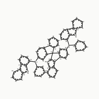 c1ccc(N(c2ccc3c(c2)C2(c4ccccc4-3)c3cc(N(c4ccccc4)c4cccc5c4oc4ccccc45)ccc3-c3c2sc2ccccc32)c2cccc3c2oc2ccccc23)cc1